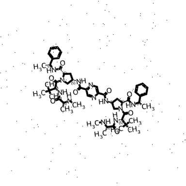 CN[C@@H](C)C(=O)N[C@H](C(=O)N1C[C@@H](NC(=O)c2cnc(C(=O)N[C@H]3C[C@@H](C(=O)N[C@H](C)c4ccccc4)N(C(=O)[C@@H](NC(=O)[C@H](C)NC)C(C)(C)C)C3)cn2)C[C@H]1C(=O)N[C@H](C)c1ccccc1)C(C)(C)C